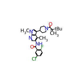 Cc1c(NC(=O)c2cc(Cl)ccc2F)cnc2c1c(C1CCN(C(=O)[C@H](C)C(C)(C)C)CC1)cn2C